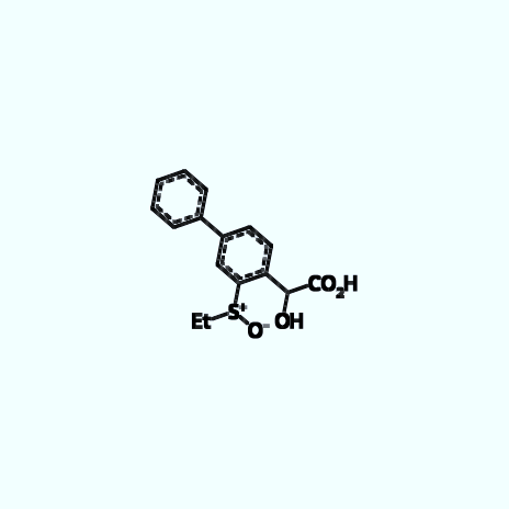 CC[S+]([O-])c1cc(-c2ccccc2)ccc1C(O)C(=O)O